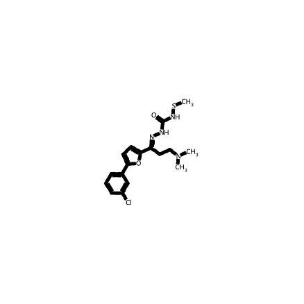 CSNC(=O)N/N=C(\CCN(C)C)c1ccc(-c2cccc(Cl)c2)o1